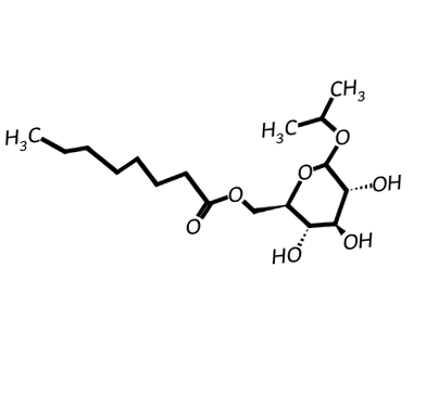 CCCCCCCC(=O)OC[C@H]1OC(OC(C)C)[C@H](O)[C@@H](O)[C@@H]1O